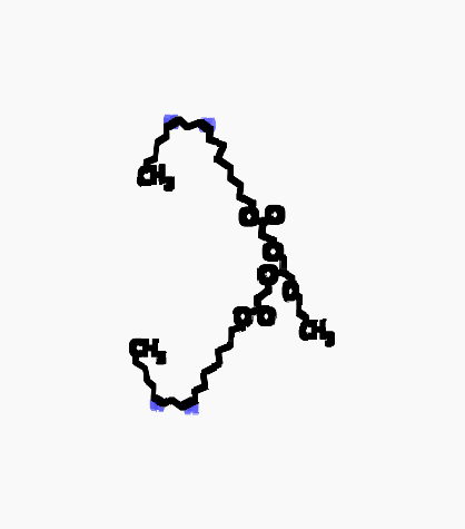 CCCCC/C=C\C/C=C\CCCCCCCCOC(=O)CCOCC(COCCCC)OCCC(=O)OCCCCCCCC/C=C\C/C=C\CCCCC